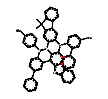 CC(C)(C)c1ccc(N2B3c4cc5c(cc4N(c4ccc(C(C)(C)C)cc4-c4ccccc4)c4cc6c(oc7ccccc76)c(c43)-c3cc(-c4ccccc4)ccc32)-c2ccccc2C5(C)C)cc1